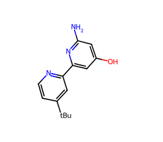 CC(C)(C)c1ccnc(-c2cc(O)cc(N)n2)c1